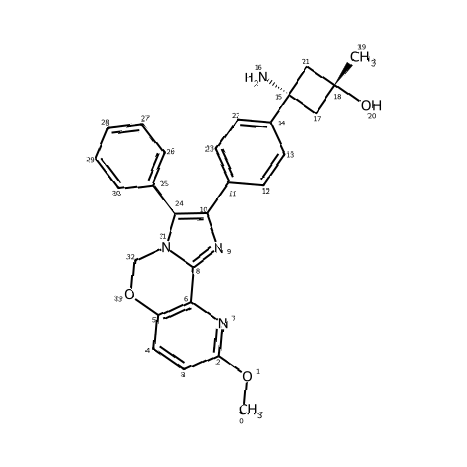 COc1ccc2c(n1)-c1nc(-c3ccc([C@]4(N)C[C@@](C)(O)C4)cc3)c(-c3ccccc3)n1CO2